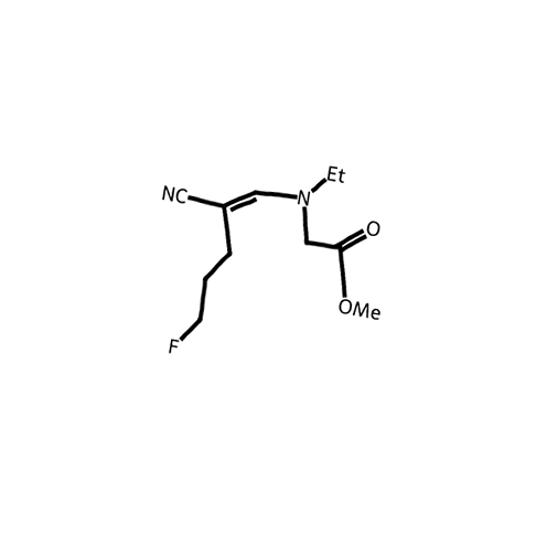 CCN(C=C(C#N)CCCF)CC(=O)OC